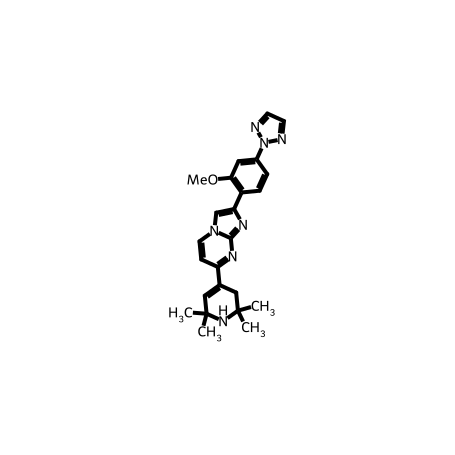 COc1cc(-n2nccn2)ccc1-c1cn2ccc(C3=CC(C)(C)NC(C)(C)C3)nc2n1